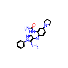 NC(=O)NC1=CC(=[N+]2CCCC2)C=C/C1=N/c1cnn(-c2ccccc2)c1N